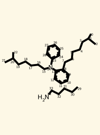 CC(C)CCCCCc1ccccc1N(CCCCCC(C)C)c1ccccc1.CCCCCN